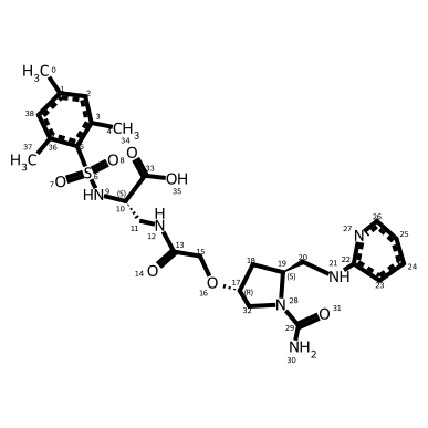 Cc1cc(C)c(S(=O)(=O)N[C@@H](CNC(=O)CO[C@@H]2C[C@@H](CNc3ccccn3)N(C(N)=O)C2)C(=O)O)c(C)c1